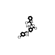 O=Cc1ccc(NCc2ccc(Cl)cc2)cc1NC(=O)c1sc2ccccc2c1Cl